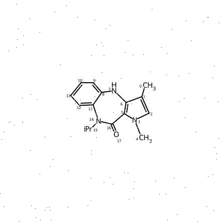 Cc1cn(C)c2c1Nc1ccccc1N(C(C)C)C2=O